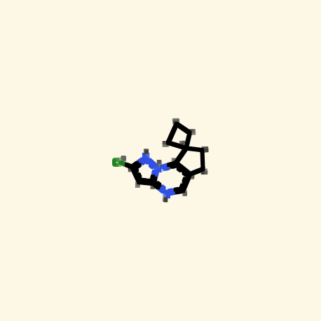 Clc1cc2ncc3c(n2n1)C1(CCC1)CC3